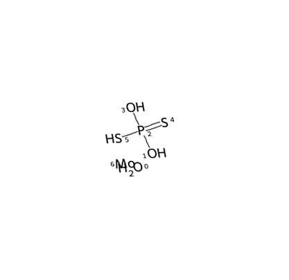 O.OP(O)(=S)S.[Mo]